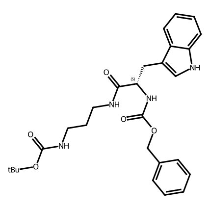 CC(C)(C)OC(=O)NCCCNC(=O)[C@H](Cc1c[nH]c2ccccc12)NC(=O)OCc1ccccc1